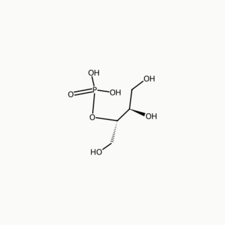 O=P(O)(O)O[C@@H](CO)[C@H](O)CO